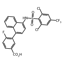 O=C(O)c1ccc(F)c(-c2ccc(NS(=O)(=O)c3c(Cl)cc(C(F)(F)F)cc3Cl)c3ccccc23)c1